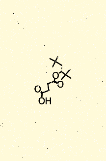 CC(C)(C)C[C@@H](OC(=O)CCC(=O)O)C(C)(C)C